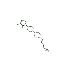 CCCC=CC1CCC(C2CC=C(c3cccc(F)c3F)CC2)CC1